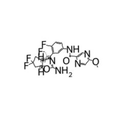 COc1cnc(C(=O)Nc2ccc(F)c([C@@]3(CF)N=C(N)O[C@@H]4CC(F)(F)C[C@@H]43)c2)cn1